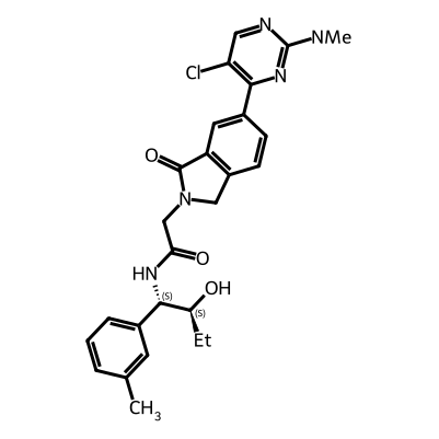 CC[C@H](O)[C@@H](NC(=O)CN1Cc2ccc(-c3nc(NC)ncc3Cl)cc2C1=O)c1cccc(C)c1